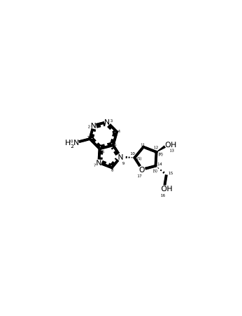 Nc1nncc2c1ncn2[C@@H]1C[C@@H](O)[C@H](CO)O1